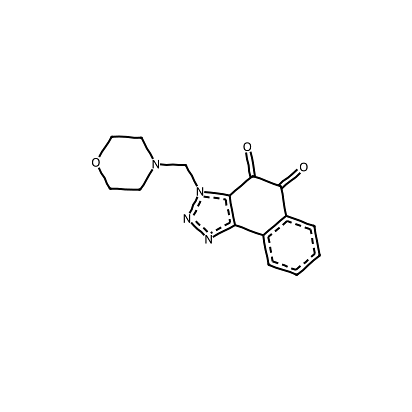 O=C1C(=O)c2c(nnn2CN2CCOCC2)-c2ccccc21